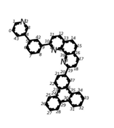 c1cncc(-c2cccc(-c3ccc4ccc5ccc(-c6ccc7c8ccccc8c8ccccc8c7c6)nc5c4n3)c2)c1